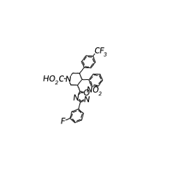 O=C(O)N1CC(c2ccc(C(F)(F)F)cc2)C(c2ccccc2[N+](=O)[O-])C(c2nc(-c3cccc(F)c3)no2)C1